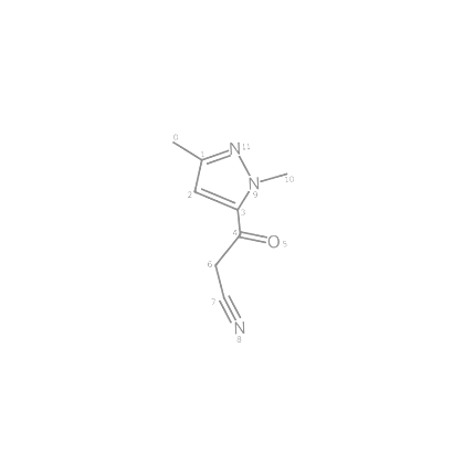 Cc1cc(C(=O)CC#N)n(C)n1